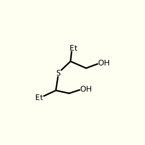 CCC(CO)SC(CC)CO